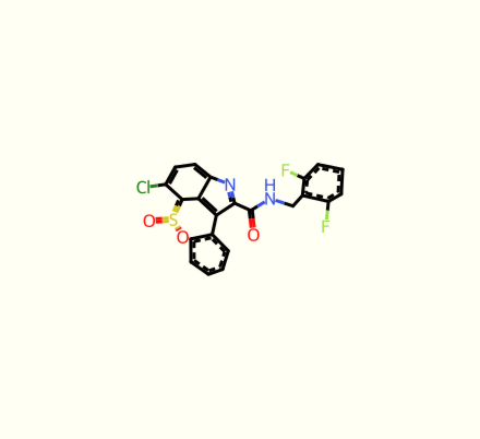 O=C(NCc1c(F)cccc1F)C1=NC2=CC=C(Cl)C(=S(=O)=O)C2=C1c1ccccc1